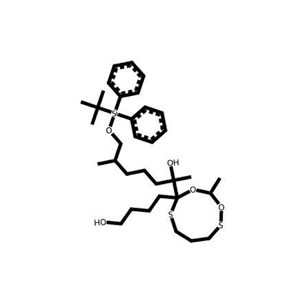 CC(CCCC(C)(O)C1(CCCCO)OC(C)OSCCCS1)CO[Si](c1ccccc1)(c1ccccc1)C(C)(C)C